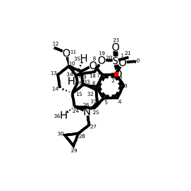 COc1ccc2c3c1O[C@H]1[C@@]4(OC)CC[C@@]5(C[C@@H]4COS(C)(=O)=O)[C@@H](C2)N(CC2CC2)CC[C@]315